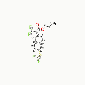 CC(C)CCOC(=O)C(c1ccc2cc(SC(F)F)ccc2c1)C(F)F